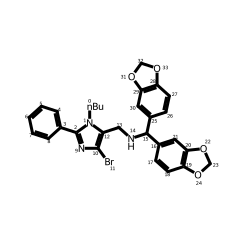 CCCCn1c(-c2ccccc2)nc(Br)c1CNC(c1ccc2c(c1)OCO2)c1ccc2c(c1)OCO2